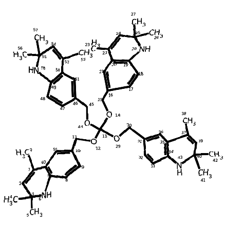 CC1=CC(C)(C)Nc2ccc(COC(OCc3ccc4c(c3)C(C)=CC(C)(C)N4)(OCc3ccc4c(c3)C(C)=CC(C)(C)N4)OCc3ccc4c(c3)C(C)=CC(C)(C)N4)cc21